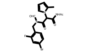 CC(=O)NC(=O)C(C(=O)N(C=O)Cc1ccc(Br)cc1F)n1cccc1C